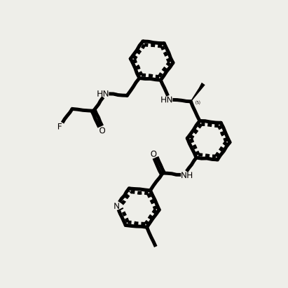 Cc1cncc(C(=O)Nc2cccc([C@H](C)Nc3ccccc3CNC(=O)CF)c2)c1